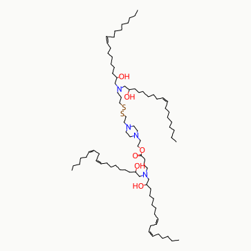 CCCCC/C=C\C/C=C\CCCCCCC(O)CN(CCCC(=O)OCCN1CCN(CCSSCCCN(CC(O)CCCCCC/C=C\CCCCCCCC)CC(O)CCCCCC/C=C\CCCCCCCC)CC1)CC(O)CCCCCC/C=C\C/C=C\CCCCC